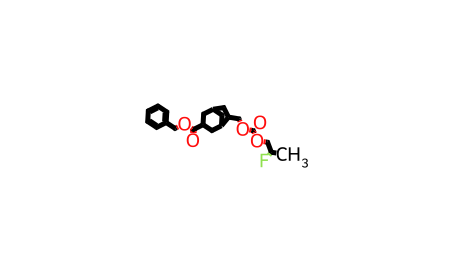 CC(F)COC(=O)OCC1CC2CC(C(=O)OCc3ccccc3)CC1C2